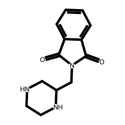 O=C1c2ccccc2C(=O)N1CC1CNCCN1